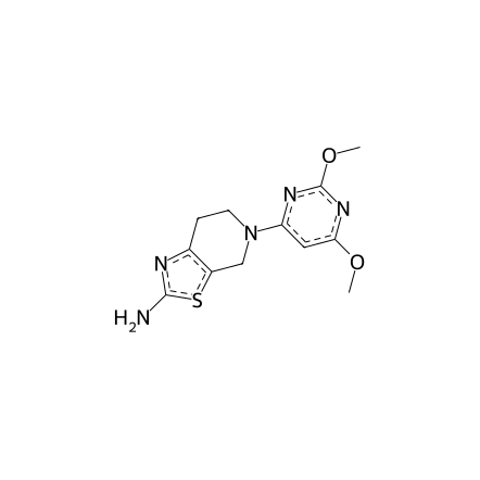 COc1cc(N2CCc3nc(N)sc3C2)nc(OC)n1